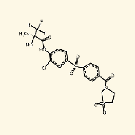 C[C@@](O)(C(=O)Nc1ccc(S(=O)(=O)c2ccc(C(=O)N3CCS(=O)(=O)C3)cc2)cc1Cl)C(F)(F)F